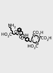 NCCCCC(CC(=O)CNC(=O)C(Cc1ccccc1)NC(=O)c1ccc(CN2CCN(CC(=O)O)CCN(CC(=O)O)CCN(CC(=O)O)CC2)cc1)C(=O)O